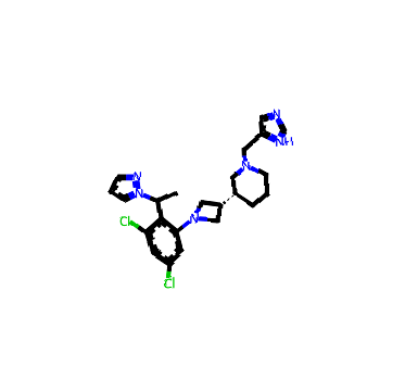 CC(c1c(Cl)cc(Cl)cc1N1CC([C@H]2CCCN(Cc3cnc[nH]3)C2)C1)n1cccn1